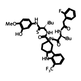 CCC(C)[C@H](NC(=O)Cc1ccccc1F)C(=O)N[C@]1(C(=O)NC(C(=S)Nc2ccc(OC)c(O)c2)[C@@H](C)CC)CCc2[nH]c3c(C(F)(F)F)cccc3c2C1